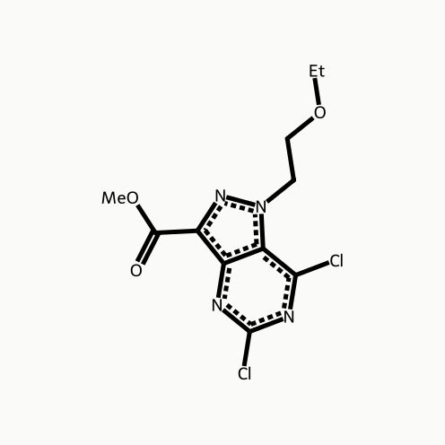 CCOCCn1nc(C(=O)OC)c2nc(Cl)nc(Cl)c21